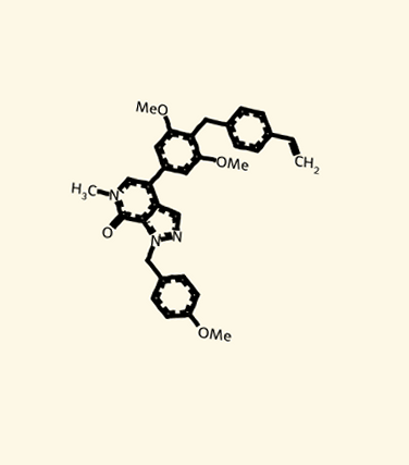 C=Cc1ccc(Cc2c(OC)cc(-c3cn(C)c(=O)c4c3cnn4Cc3ccc(OC)cc3)cc2OC)cc1